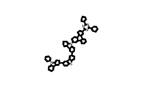 c1ccc(-c2nc(-c3ccccc3)nc(-c3ccc4c5ccc(-n6c7ccccc7c7cc(-c8ccc9sc%10ccc(-c%11ccc%12c(c%11)c%11ccccc%11n%12-c%11ccccc%11)cc%10c9c8)ccc76)cc5c5ccccc5c4c3)n2)cc1